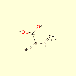 C=CC(CCC)C([O])=O